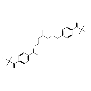 CC(CCOC(C)c1ccc(C(=O)C(C)(C)O)cc1)COCc1ccc(C(=O)C(C)(C)O)cc1